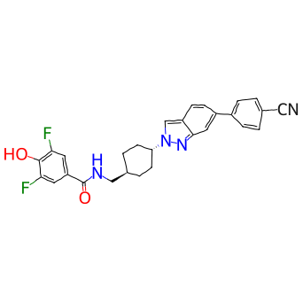 N#Cc1ccc(-c2ccc3cn([C@H]4CC[C@H](CNC(=O)c5cc(F)c(O)c(F)c5)CC4)nc3c2)cc1